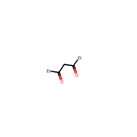 CCC(=O)[CH]C(=O)CC